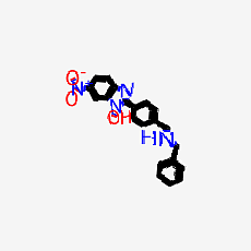 O=[N+]([O-])c1ccc2nc(-c3ccc(CNCc4ccccc4)cc3)n(O)c2c1